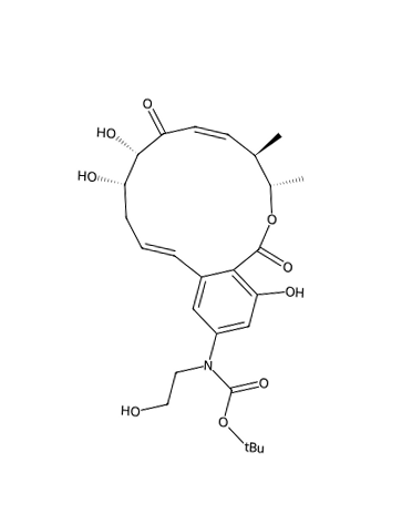 C[C@@H]1/C=C\C(=O)[C@@H](O)[C@@H](O)C/C=C/c2cc(N(CCO)C(=O)OC(C)(C)C)cc(O)c2C(=O)O[C@H]1C